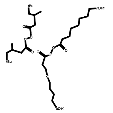 CC(CC(=O)OOC(=O)CC(C)CC(C)(C)C)CC(C)(C)C.CCCCCCCCCCCCCCCCCC(=O)OOC(=O)CCCCCCCCCCCCCCCCC